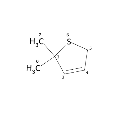 CC1(C)C=CCS1